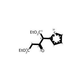 CCOC(=O)CC(=O)C(C(=O)OCC)c1cccs1